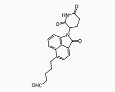 O=CCCCCc1ccc2c3c(cccc13)N(C1CCC(=O)NC1=O)C2=O